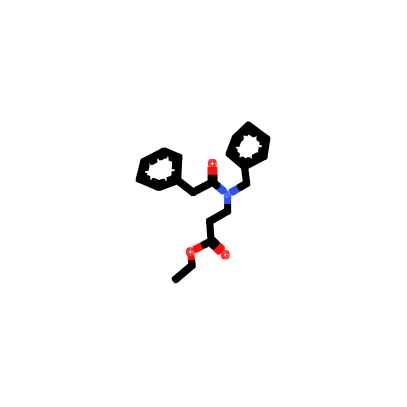 CCOC(=O)CCN(Cc1ccccc1)C(=O)Cc1ccccc1